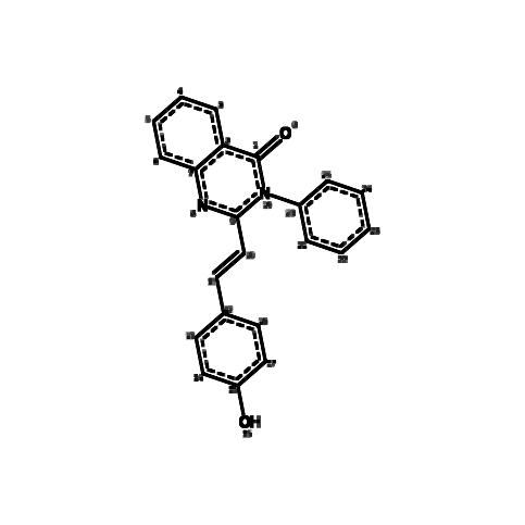 O=c1c2ccccc2nc(C=Cc2ccc(O)cc2)n1-c1ccccc1